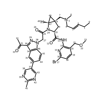 CC/C=C/CN(C)C[C@@]12C[C@@H](C(=O)Nc3nc(Br)ccc3COC)N(C(=O)Cn3nc(C(C)=O)c4cc(-c5cnc(C)nc5)ccc43)[C@@H]1C2